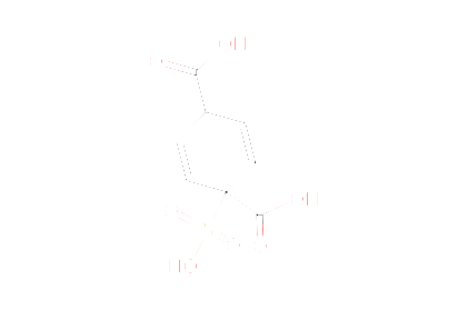 O=C(O)C1C=CC(C(=O)O)(S(=O)(=O)O)C=C1